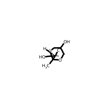 CC12OCC(O)(CO1)C[C@H]2O